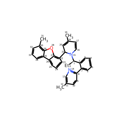 CC[C@H](c1ccccc1-c1ccc(C)cn1)N1C=CC(C)=CC1c1cccc2c1oc1c(C)cccc12